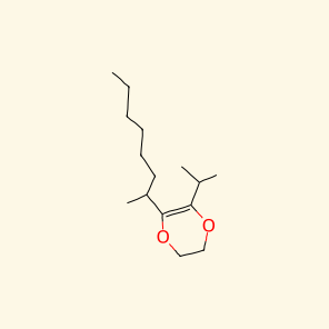 CCCCCCC(C)C1=C(C(C)C)OCCO1